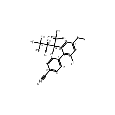 CCc1[c]c(I)c(-c2ccc(C#N)cc2)c(C(F)(C(F)(F)F)C(F)(F)C(F)(F)F)c1